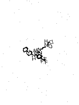 O=C(CCl)NCCCNc1nc(NC2CCN(C3CCCCC3)CC2)c2ccc(C(F)(F)F)cc2n1